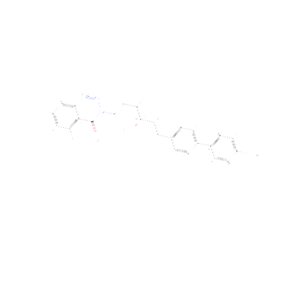 O=C(O)C(CCn1nnc2cccc(F)c2c1=O)[C@H](O)CCc1ccc(-c2ccc(F)cc2)cc1